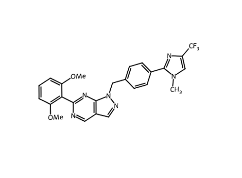 COc1cccc(OC)c1-c1ncc2cnn(Cc3ccc(-c4nc(C(F)(F)F)cn4C)cc3)c2n1